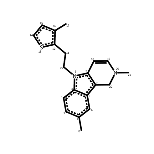 Cc1ccc2c(c1)c1c(n2CCc2sccc2C)C=CN(C)C1